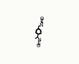 CC(N=C=O)c1ccc(CN=C=O)cc1